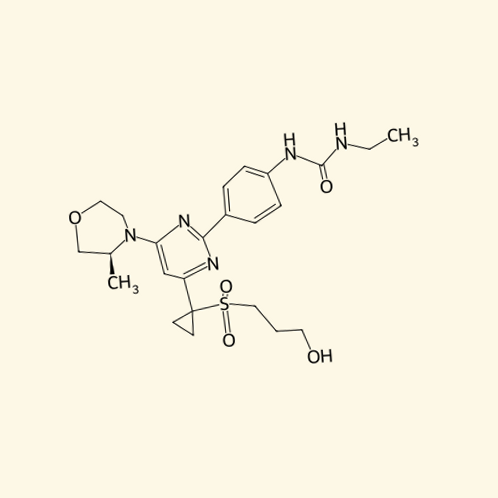 CCNC(=O)Nc1ccc(-c2nc(N3CCOC[C@@H]3C)cc(C3(S(=O)(=O)CCCO)CC3)n2)cc1